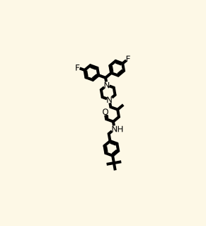 CC(CC(C=O)NCc1ccc(C(C)(C)C)cc1)CN1CCN(C(c2ccc(F)cc2)c2ccc(F)cc2)CC1